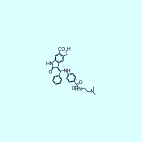 Cc1cc2c(cc1C(=O)O)NC(=O)/C2=C(/Nc1ccc(S(=O)(=O)NCCN(C)C)cc1)c1ccccc1